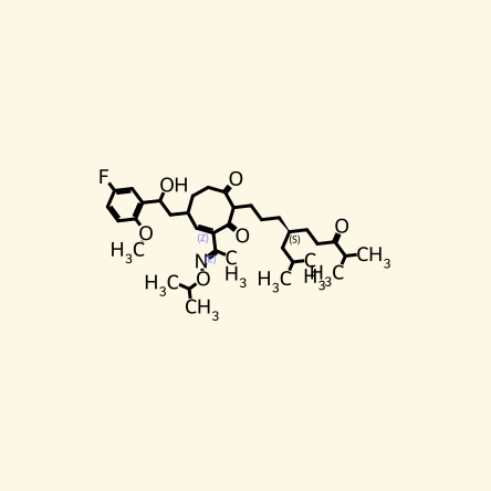 COc1ccc(F)cc1C(O)CC1/C=C(/C(C)=N/OC(C)C)C(=O)C(CCC[C@@H](CCC(=O)C(C)C)CC(C)C)C(=O)CC1